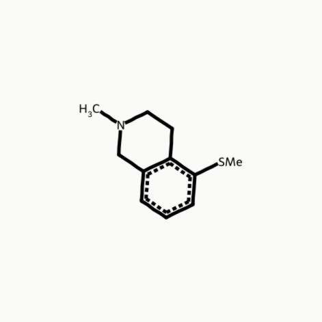 CSc1cccc2c1CCN(C)C2